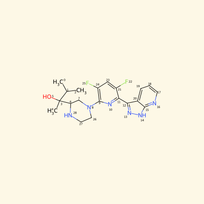 CC(C)C(C)(O)C1CN(c2nc(-c3n[nH]c4ncccc34)c(F)cc2F)CCN1